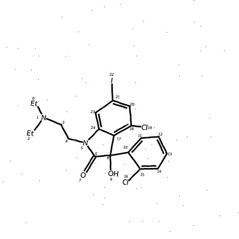 CCN(CC)CCN1C(=O)C(O)(c2ccccc2Cl)c2c(Cl)cc(I)cc21